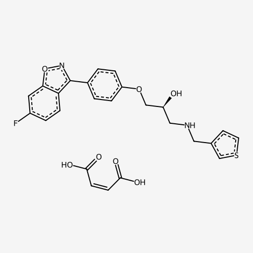 O=C(O)/C=C\C(=O)O.O[C@@H](CNCc1ccsc1)COc1ccc(-c2noc3cc(F)ccc23)cc1